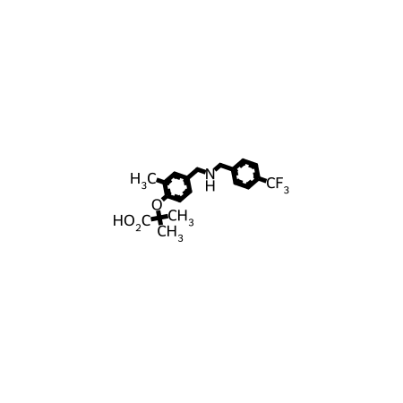 Cc1cc(CNCc2ccc(C(F)(F)F)cc2)ccc1OC(C)(C)C(=O)O